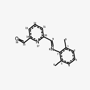 Cc1cccc(C)c1N=Cc1cccc(C=O)n1